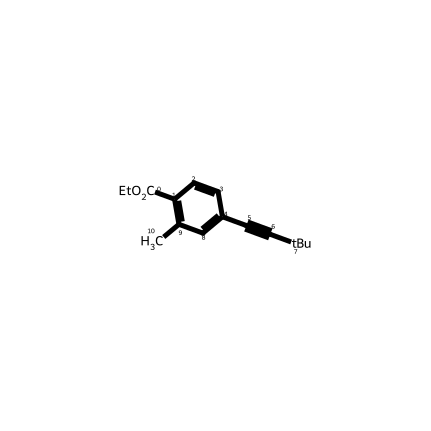 CCOC(=O)c1ccc(C#CC(C)(C)C)cc1C